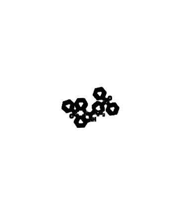 C=C(/C=C\C(=C/C)P(=O)(c1ccccc1)c1ccccc1)C1Nc2cccc3c2N1c1ccccc1P3(=O)c1ccccc1